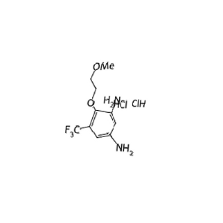 COCCOc1c(N)cc(N)cc1C(F)(F)F.Cl.Cl